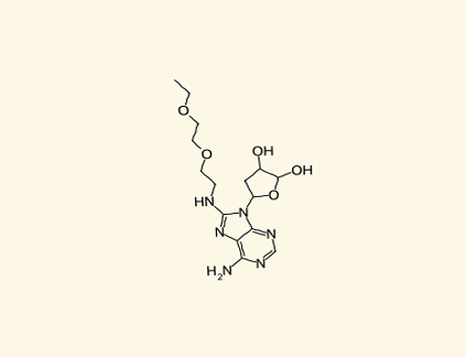 CCOCCOCCNc1nc2c(N)ncnc2n1C1CC(O)C(O)O1